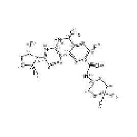 CC(C)[C@H]1COC(=O)N1c1ccnc(N[C@@H](C)c2ccc(C(=O)NC3CCC(F)(F)CC3)c(F)c2)n1